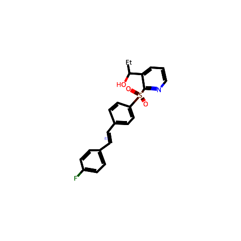 CCC(O)c1cccnc1S(=O)(=O)c1ccc(/C=C/c2ccc(F)cc2)cc1